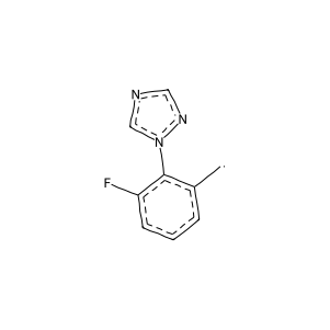 [CH2]c1cccc(F)c1-n1cncn1